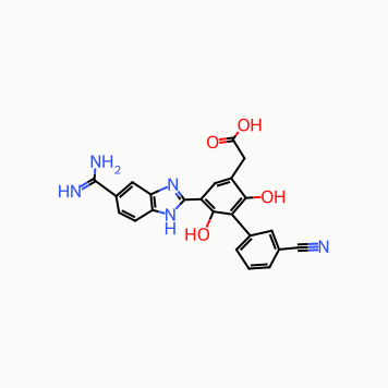 N#Cc1cccc(-c2c(O)c(CC(=O)O)cc(-c3nc4cc(C(=N)N)ccc4[nH]3)c2O)c1